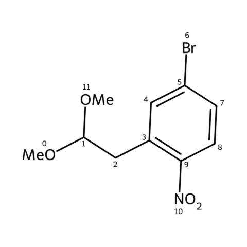 COC(Cc1cc(Br)ccc1[N+](=O)[O-])OC